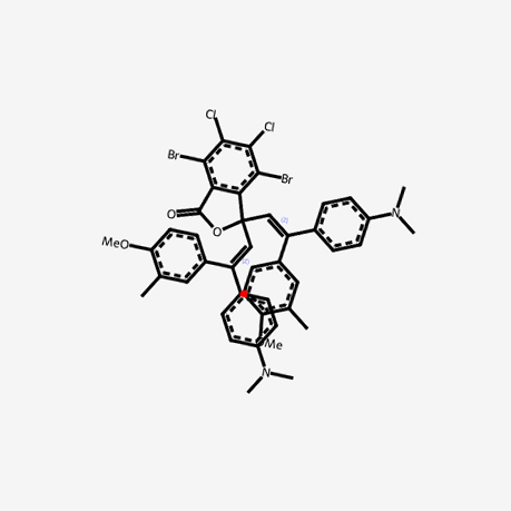 COc1ccc(/C(=C\C2(/C=C(/c3ccc(N(C)C)cc3)c3ccc(OC)c(C)c3)OC(=O)c3c(Br)c(Cl)c(Cl)c(Br)c32)c2ccc(N(C)C)cc2)cc1C